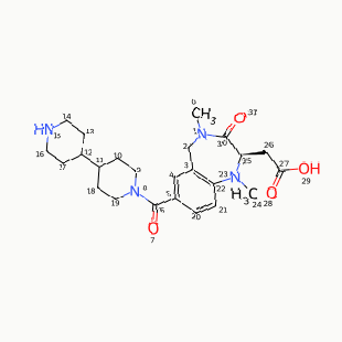 CN1Cc2cc(C(=O)N3CCC(C4CCNCC4)CC3)ccc2N(C)[C@H](CC(=O)O)C1=O